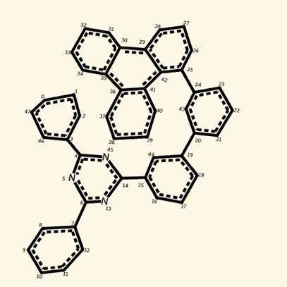 c1ccc(-c2nc(-c3ccccc3)nc(-c3cccc(-c4cccc(-c5cccc6c7ccccc7c7ccccc7c56)c4)c3)n2)cc1